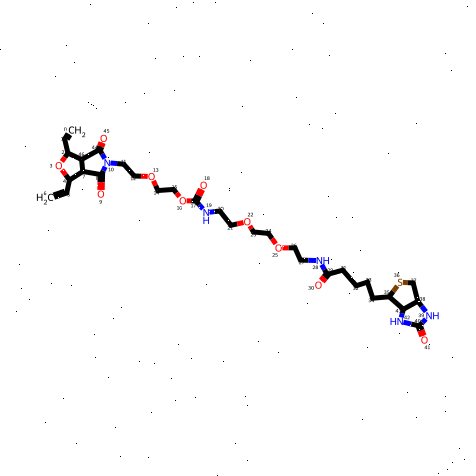 C=CC1OC(C=C)C2C(=O)N(CCOCCOC(=O)NCCOCCOCCNC(=O)CCCCC3SCC4NC(=O)NC43)C(=O)C12